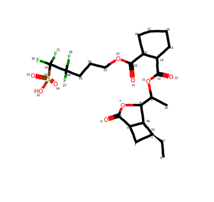 CC[C@H]1CC2C(=O)OC(C(C)OC(=O)C3CCCCC3C(=O)OCCCC(F)(F)C(F)(F)S(=O)(=O)O)C21